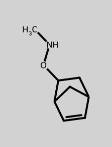 CNOC1CC2C=CC1C2